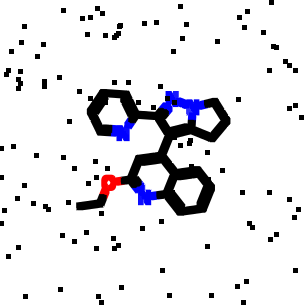 CCOc1cc(-c2c(-c3ccccn3)nn3c2CCC3)c2ccccc2n1